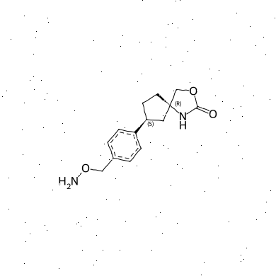 NOCc1ccc([C@H]2CC[C@]3(COC(=O)N3)C2)cc1